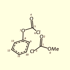 COC(=O)Cl.O=C(Cl)Oc1ccccc1